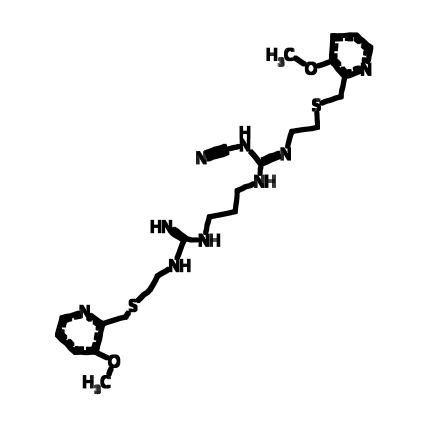 COc1cccnc1CSCCN=C(NC#N)NCCCNC(=N)NCCSCc1ncccc1OC